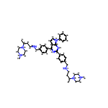 CC(CCNCc1ccc(-c2nc(-c3ccc(CNCCC(C)N4CCN(C)CC4)cc3)c3ccn(-c4ccccc4)c3n2)cc1)N1CCN(C)CC1